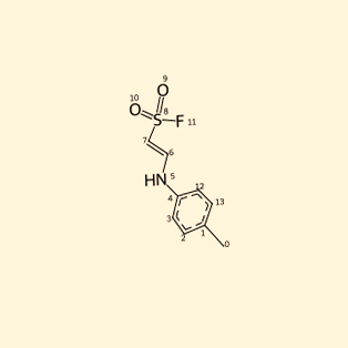 Cc1ccc(NC=CS(=O)(=O)F)cc1